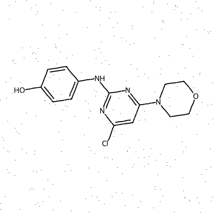 Oc1ccc(Nc2nc(Cl)cc(N3CCOCC3)n2)cc1